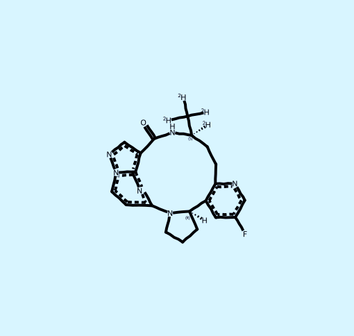 [2H]C([2H])([2H])[C@@]1([2H])CCc2ncc(F)cc2[C@H]2CCCN2c2ccn3ncc(c3n2)C(=O)N1